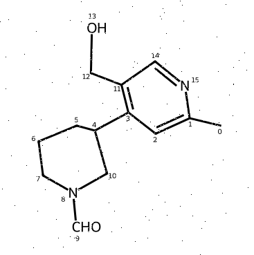 Cc1cc(C2CCCN(C=O)C2)c(CO)cn1